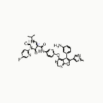 CC(C)N/C=C(/C(=O)Nc1ccc(Oc2ncnc3oc(-c4cnn(C)c4)c(-c4cccc(N)c4)c23)cc1)C(=O)N(C=O)c1ccc(F)cn1